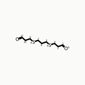 O=CCCSCCCSCCC=O